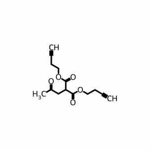 C#CCCOC(=O)C(CC(C)=O)C(=O)OCCC#C